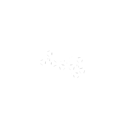 CC(C)c1ccc(N(c2ccc(C(C)C)cc2)c2ccc3c(c2)oc2c4c(ccc23)-c2c(cc(N(c3ccc(C(C)C)cc3)c3ccc(C(C)C)cc3)c3c2oc2ccccc23)C42C3CC4CC(C3)CC2C4)cc1